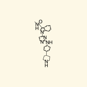 CNC(=O)c1cn(-c2ccnc(Nc3ccc(C4CCNCC4)cc3)n2)c2ccccc12